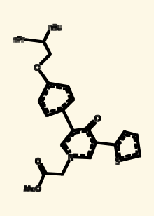 CCCCC(CCC)COc1ccc(-c2cn(CC(=O)OC)cc(-c3cccs3)c2=O)cc1